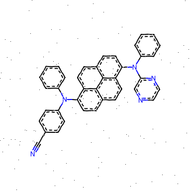 N#Cc1ccc(N(c2ccccc2)c2ccc3ccc4c(N(c5ccccc5)c5cnccn5)ccc5ccc2c3c54)cc1